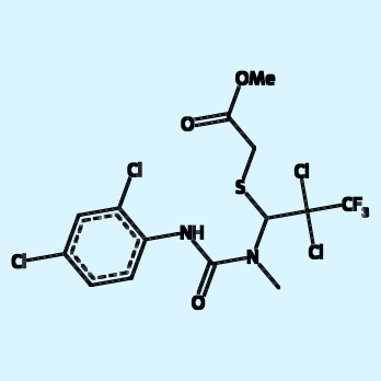 COC(=O)CSC(N(C)C(=O)Nc1ccc(Cl)cc1Cl)C(Cl)(Cl)C(F)(F)F